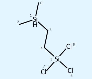 C[SiH](C)CC[Si](Cl)(Cl)Cl